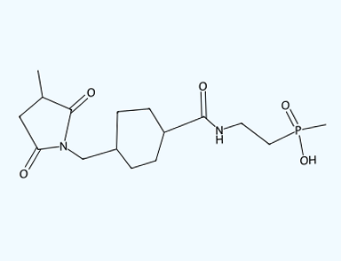 CC1CC(=O)N(CC2CCC(C(=O)NCCP(C)(=O)O)CC2)C1=O